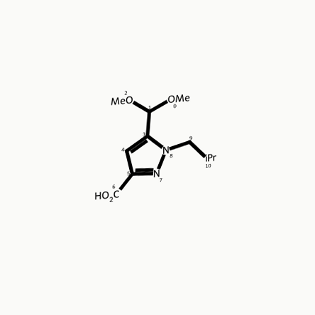 COC(OC)c1cc(C(=O)O)nn1CC(C)C